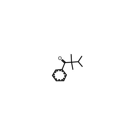 CC(C)C(C)(C)C(=O)c1ccccc1